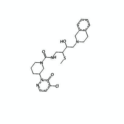 CSC(CNC(=O)N1CCCC(n2nccc(Cl)c2=O)C1)C(O)CN1CCc2ccccc2C1